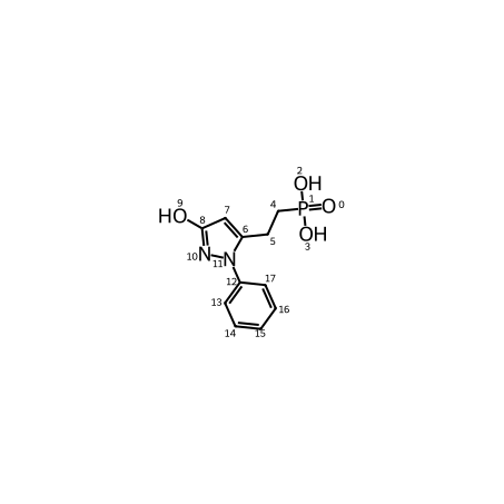 O=P(O)(O)CCc1cc(O)nn1-c1ccccc1